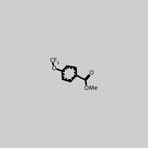 COC(=O)c1[c]cc(OC(F)(F)F)cc1